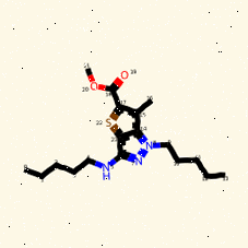 CCCCCNc1nn(CCCCC)c2c(C)c(C(=O)OC)sc12